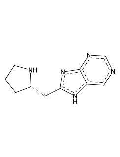 c1ncc2[nH]c(C[C@@H]3CCCN3)nc2n1